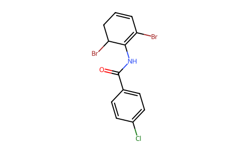 O=C(NC1=C(Br)C=CCC1Br)c1ccc(Cl)cc1